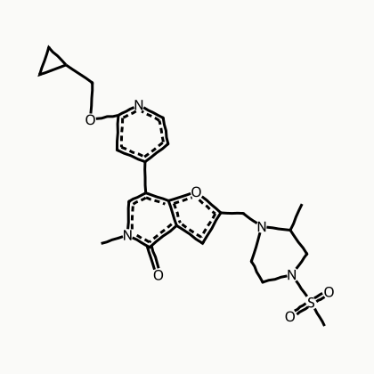 CC1CN(S(C)(=O)=O)CCN1Cc1cc2c(=O)n(C)cc(-c3ccnc(OCC4CC4)c3)c2o1